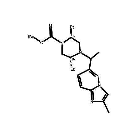 CC[C@H]1CN(C(C)c2ccc3nc(C)cn3n2)[C@H](CC)CN1C(=O)OC(C)(C)C